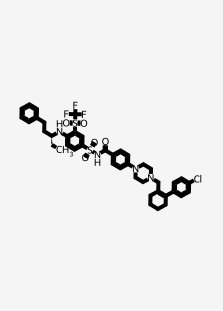 CC[C@H](CCc1ccccc1)Nc1ccc(S(=O)(=O)NC(=O)c2ccc(N3CCN(CC4=C(c5ccc(Cl)cc5)CCCC4)CC3)cc2)cc1S(=O)(=O)C(F)(F)F